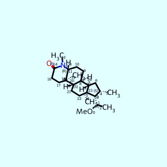 CO[C@H](C)[C@H]1[C@@H](C)C[C@H]2[C@@H]3CC[C@H]4N(C)C(=O)CC[C@]4(C)[C@H]3CC[C@]12C